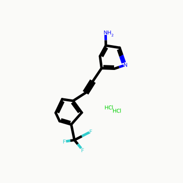 Cl.Cl.Nc1cncc(C#Cc2cccc(C(F)(F)F)c2)c1